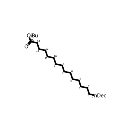 CCCCCCCCCCCCCCCCCCCCCCCCC(=O)OCC(C)C